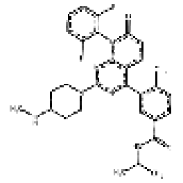 CNC1CCN(c2nc(-c3cc(C(=O)NC(C)C)ccc3C)c3ccc(=O)n(-c4c(F)cccc4F)c3n2)CC1